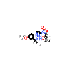 CC[C@@H](OC(C)(C)C)[C@H]1COC(=O)N1c1ccnc(N[C@@H](C)c2cccc(OC(F)(F)F)c2)n1